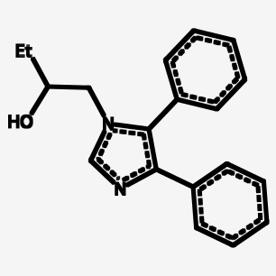 CCC(O)Cn1cnc(-c2ccccc2)c1-c1ccccc1